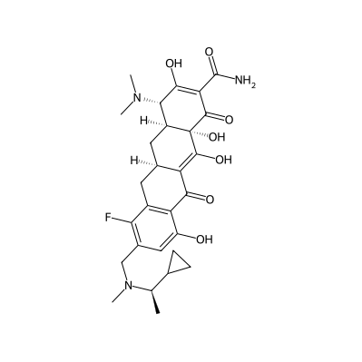 C[C@H](C1CC1)N(C)Cc1cc(O)c2c(c1F)C[C@H]1C[C@H]3[C@H](N(C)C)C(O)=C(C(N)=O)C(=O)[C@@]3(O)C(O)=C1C2=O